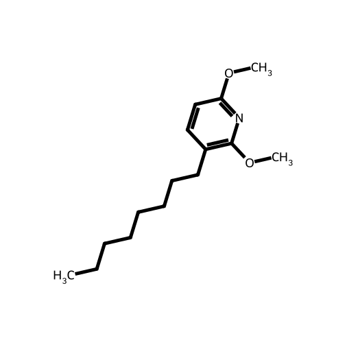 CCCCCCCCc1ccc(OC)nc1OC